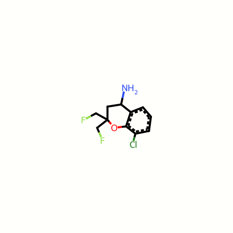 NC1CC(CF)(CF)Oc2c(Cl)cccc21